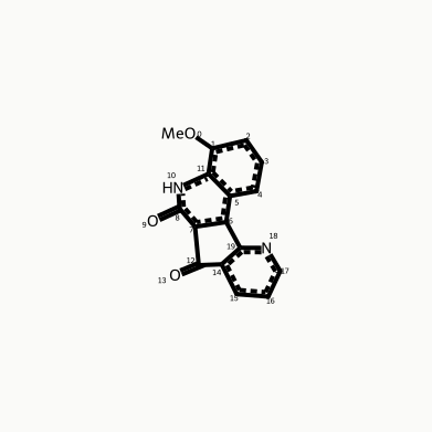 COc1cccc2c3c(c(=O)[nH]c12)C(=O)c1cccnc1-3